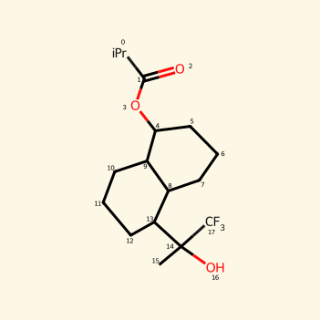 CC(C)C(=O)OC1CCCC2C1CCCC2C(C)(O)C(F)(F)F